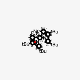 CC(C)(C)c1ccc2c(c1)c1cc(C(C)(C)C)ccc1n2-c1cc(-n2c3ccc(C(C)(C)C)cc3c3cc(C(C)(C)C)ccc32)c(-c2ccccc2C#N)c(C(F)(F)F)c1-c1ccccc1C#N